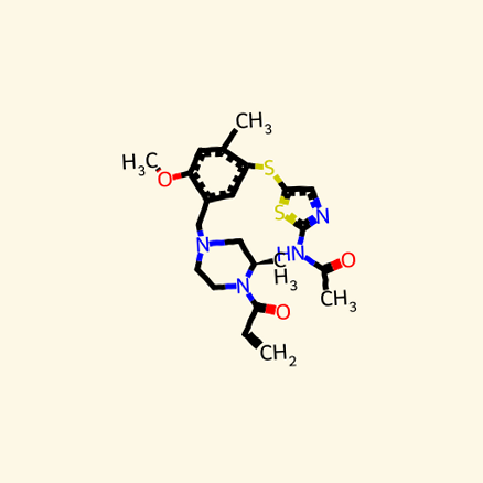 C=CC(=O)N1CCN(Cc2cc(Sc3cnc(NC(C)=O)s3)c(C)cc2OC)C[C@H]1C